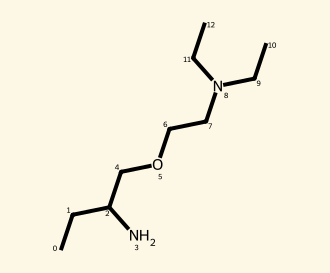 CCC(N)COCCN(CC)CC